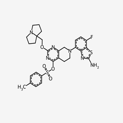 Cc1ccc(S(=O)(=O)Oc2nc(OCC34CCCN3CCC4)nc3c2CCN(c2ccc(F)c4sc(N)nc24)C3)cc1